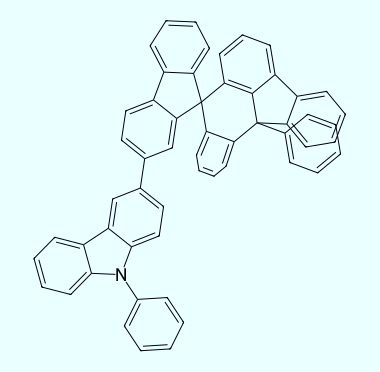 c1ccc(-n2c3ccccc3c3cc(-c4ccc5c(c4)C4(c6ccccc6-5)c5ccccc5C5(c6ccccc6)c6ccccc6-c6cccc4c65)ccc32)cc1